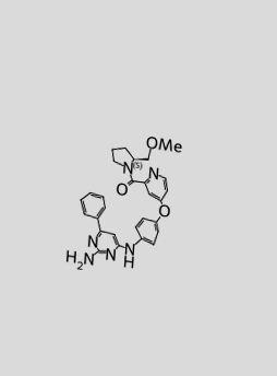 COC[C@@H]1CCCN1C(=O)c1cc(Oc2ccc(Nc3cc(-c4ccccc4)nc(N)n3)cc2)ccn1